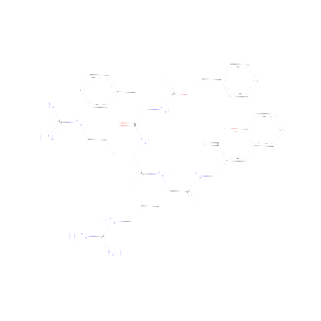 N=C(N)NCCC[C@H](NC(=O)[C@H](CCCNC(=N)N)NC(=O)[C@H](Cc1ccccc1)NC(=O)OCc1ccccc1)C(=O)NCc1cc2ccccc2oc1=O